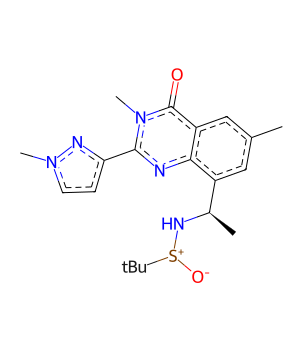 Cc1cc([C@@H](C)N[S+]([O-])C(C)(C)C)c2nc(-c3ccn(C)n3)n(C)c(=O)c2c1